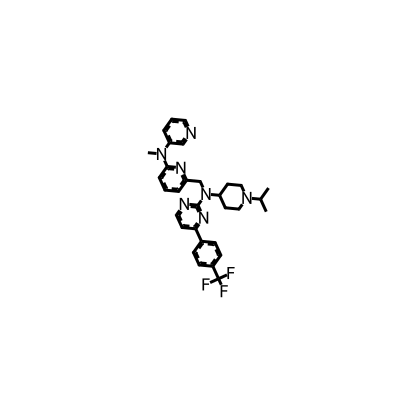 CC(C)N1CCC(N(Cc2cccc(N(C)c3cccnc3)n2)c2nccc(-c3ccc(C(F)(F)F)cc3)n2)CC1